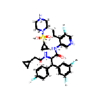 O=C(CC1CC1)NC(C(=O)Nc1cncc(F)c1CC[C@H]1CNCCN1S(=O)(=O)C1CC1)C(c1ccc(F)cc1)c1cc(F)cc(F)c1